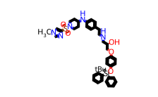 Cn1cnc(S(=O)(=O)N2CCC(Nc3ccc(CCNC[C@H](O)COc4ccc(O[Si](c5ccccc5)(c5ccccc5)C(C)(C)C)cc4)cc3)CC2)c1